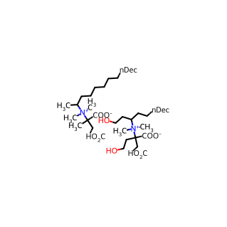 CCCCCCCCCCCCC(CCO)[N+](C)(C)C(CCO)(CC(=O)O)C(=O)[O-].CCCCCCCCCCCCCCCCC(C)[N+](C)(C)C(C)(CC(=O)O)C(=O)[O-]